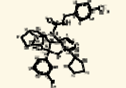 C=CCN(C(=O)NCc1ccc(C(F)(F)F)cc1)C1CC2CCC(C1)N2CC1CN(C(=O)C2CCCC2)CC1(O)c1cccc(F)c1